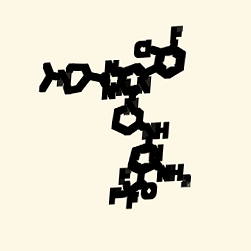 CC(C)N1CCC(c2nc3cc(-c4cccc(F)c4Cl)nc(N4CCCC(Nc5ccc(C(=O)C(F)(F)F)c(N)n5)C4)n3n2)CC1